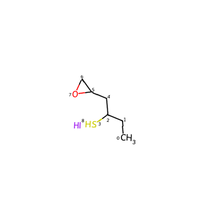 CCC(S)CC1CO1.I